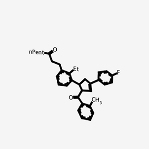 CCCCCC(=O)CCc1cccc(C2CC(c3ccc(F)cc3)=CC2C(=O)c2ccccc2C)c1CC